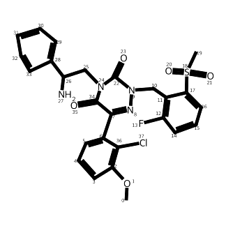 COc1cccc(-c2nn(Cc3c(F)cccc3S(C)(=O)=O)c(=O)n(CC(N)c3ccccc3)c2=O)c1Cl